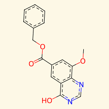 COc1cc(C(=O)OCc2ccccc2)cc2c(O)ncnc12